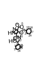 COC(=O)c1n[nH]c(C(=O)N(C)CC(O)c2ccccn2)c1OCc1ccccc1